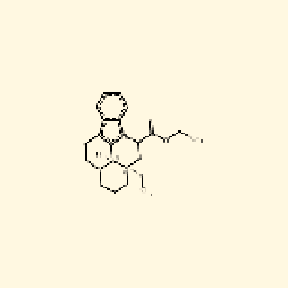 CCOC(=O)C1C[C@@]2(CC)CCCN3CCc4c(n1c1ccccc41)[C@H]32